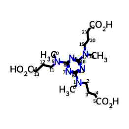 CN(CCCC(=O)O)c1nc(N(C)CCCC(=O)O)nc(N(C)CCCC(=O)O)n1